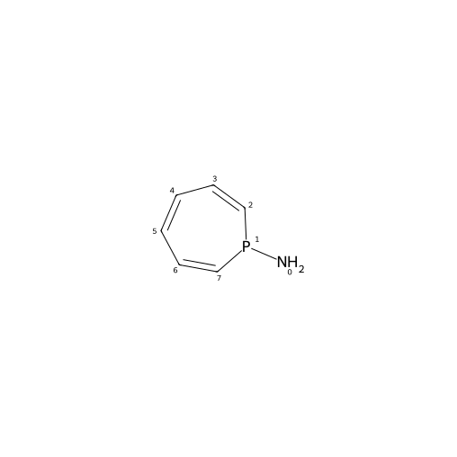 NP1C=CC=CC=C1